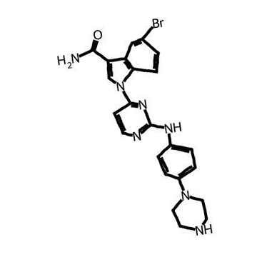 NC(=O)c1cn(-c2ccnc(Nc3ccc(N4CCNCC4)cc3)n2)c2ccc(Br)cc12